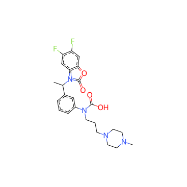 CC(c1cccc(N(CCCN2CCN(C)CC2)C(=O)O)c1)n1c(=O)oc2cc(F)c(F)cc21